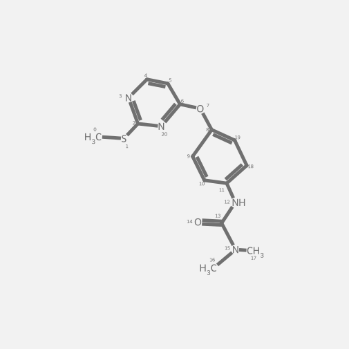 CSc1nccc(Oc2ccc(NC(=O)N(C)C)cc2)n1